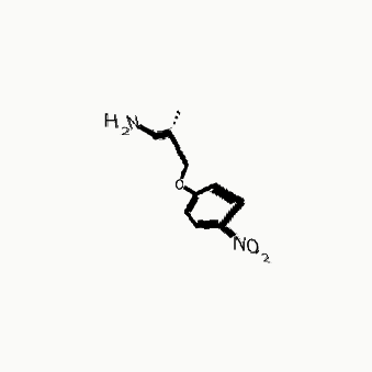 C[C@@H](CN)COc1ccc([N+](=O)[O-])cc1